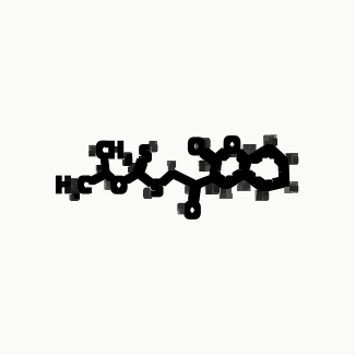 CC(C)OC(=S)SCC(=O)c1cc2ccccc2oc1=O